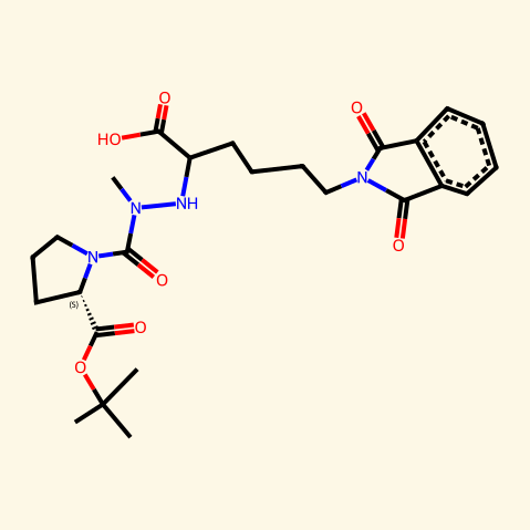 CN(NC(CCCCN1C(=O)c2ccccc2C1=O)C(=O)O)C(=O)N1CCC[C@H]1C(=O)OC(C)(C)C